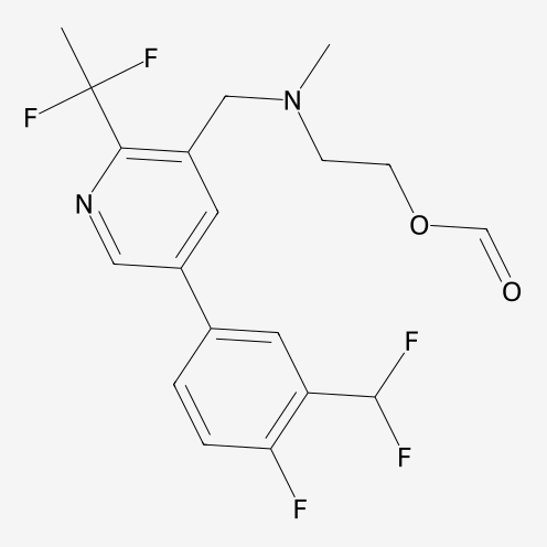 CN(CCOC=O)Cc1cc(-c2ccc(F)c(C(F)F)c2)cnc1C(C)(F)F